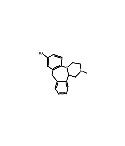 CN1CCN2c3ccc(O)cc3Cc3ccccc3C2C1